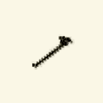 CCCCCCCCCCCCCCCCCCCCCC(=O)NC(CC)NC(C)O